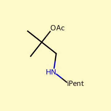 CCCC(C)NCC(C)(C)OC(C)=O